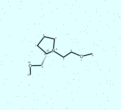 COCCN1CCC[C@H]1COC